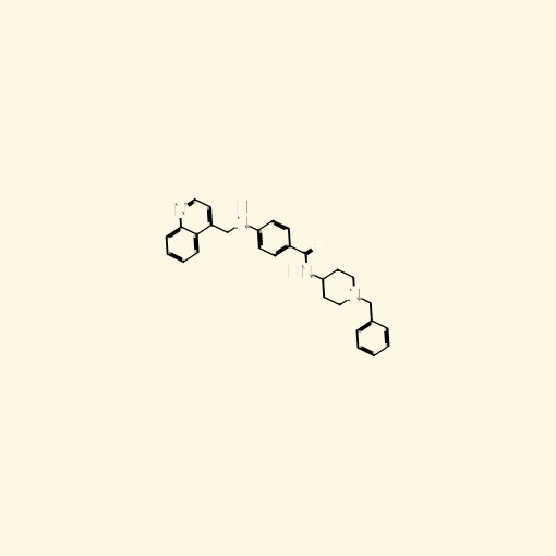 O=C(NC1CCN(Cc2ccccc2)CC1)c1ccc(NCc2ccnc3ccccc23)cc1